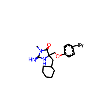 CC(C)c1ccc(OCC2(CC3CCCCC3)NC(=N)N(C)C2=O)cc1